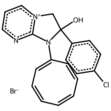 OC1(c2ccc(Cl)cc2)C[n+]2cccnc2N1C1=CC=CC=CC=C1.[Br-]